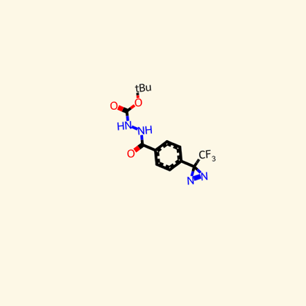 CC(C)(C)OC(=O)NNC(=O)c1ccc(C2(C(F)(F)F)N=N2)cc1